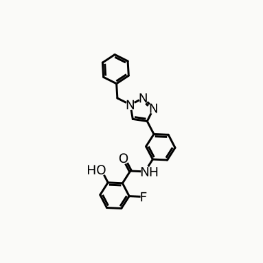 O=C(Nc1cccc(-c2cn(Cc3ccccc3)nn2)c1)c1c(O)cccc1F